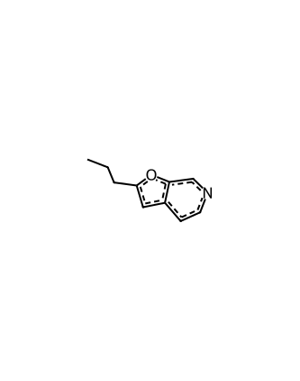 CCCc1cc2ccncc2o1